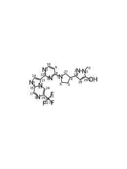 Cn1nc(C2CCN(c3ccnc(-c4cnc5cnc(C(F)(F)F)cn45)n3)C2)cc1O